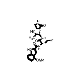 COc1cccc2[nH]c(C(=O)N[C@@H](CCC(C)C)C(=O)N[C@@H](C[C@@H]3CCNC3=O)C(C)C#N)cc12